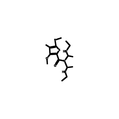 CCNC(C)N(C(=O)c1sc(SC)c(C)c1OC)C(C)NCC